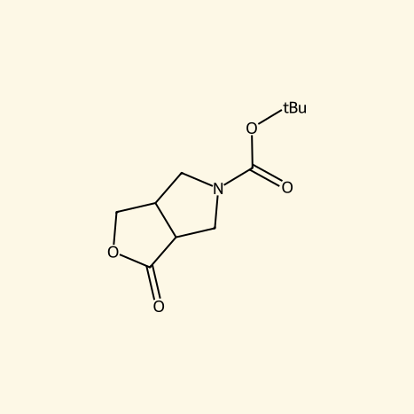 CC(C)(C)OC(=O)N1CC2COC(=O)C2C1